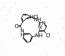 Cl.O=C1Nc2cccc(c2)Nc2nc(ncc2Cl)Nc2cccc1c2